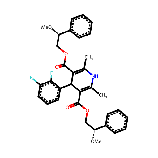 CO[C@H](COC(=O)C1=C(C)NC(C)=C(C(=O)OC[C@@H](OC)c2ccccc2)C1c1cccc(F)c1F)c1ccccc1